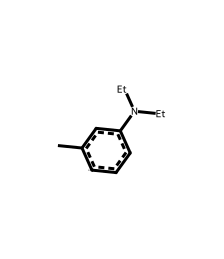 CCN(CC)c1cc[c]c(C)c1